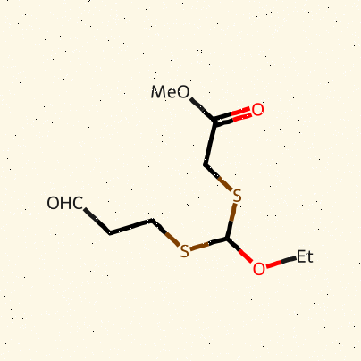 CCOC(SCCC=O)SCC(=O)OC